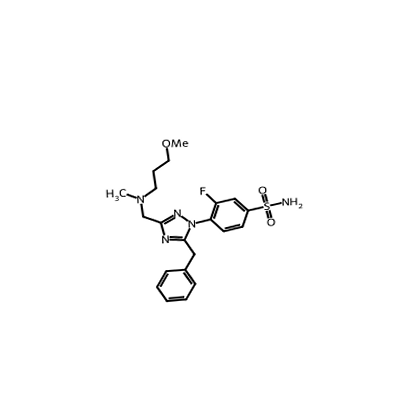 COCCCN(C)Cc1nc(Cc2ccccc2)n(-c2ccc(S(N)(=O)=O)cc2F)n1